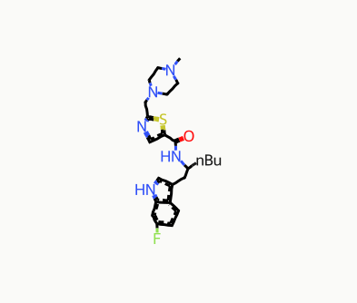 CCCCC(Cc1c[nH]c2cc(F)ccc12)NC(=O)c1cnc(CN2CCN(C)CC2)s1